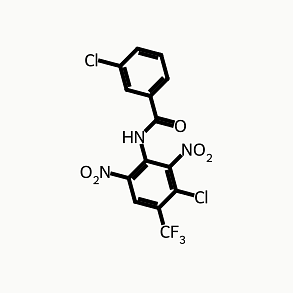 O=C(Nc1c([N+](=O)[O-])cc(C(F)(F)F)c(Cl)c1[N+](=O)[O-])c1cccc(Cl)c1